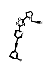 N#CCN1CCCC1c1nc(-c2ccc(C#Cc3cccc(F)c3)cn2)no1